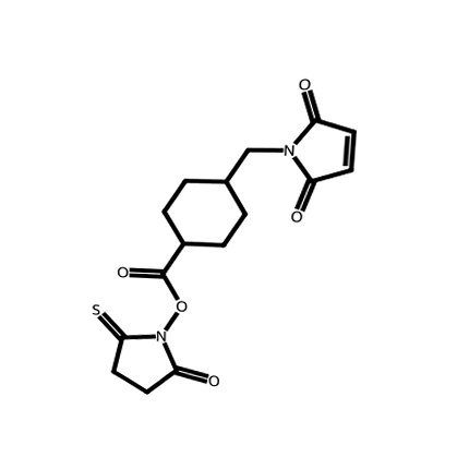 O=C(ON1C(=O)CCC1=S)C1CCC(CN2C(=O)C=CC2=O)CC1